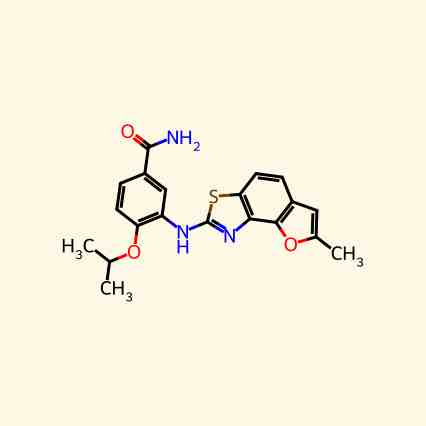 Cc1cc2ccc3sc(Nc4cc(C(N)=O)ccc4OC(C)C)nc3c2o1